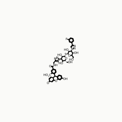 O=C1C=CC2C(=C1)Oc1cc(O)ccc1C2c1ccc(C(=O)NCc2nnn(C3C(O)[C@@H](CO)O[C@@H](S[C@@H]4OC(CO)[C@H](O)C(n5cc(-c6cccc(F)c6)nn5)[C@@H]4O)[C@@H]3O)n2)cc1C(=O)O